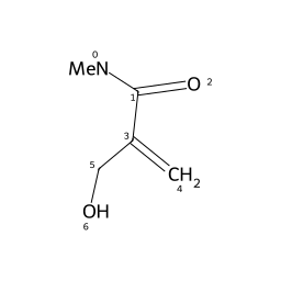 [CH]NC(=O)C(=C)CO